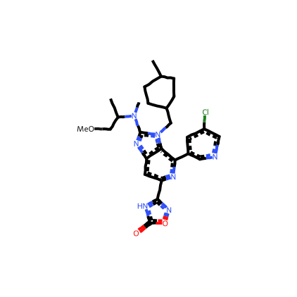 COCC(C)N(C)c1nc2cc(-c3noc(=O)[nH]3)nc(-c3cncc(Cl)c3)c2n1CC1CCC(C)CC1